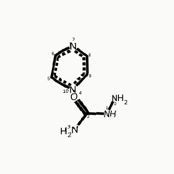 NNC(N)=O.c1cnccn1